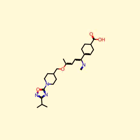 C=N/C(=C\C=C(/C)OCC1CCN(c2nc(C(C)C)no2)CC1)C1=CCC(C(=O)O)CC1